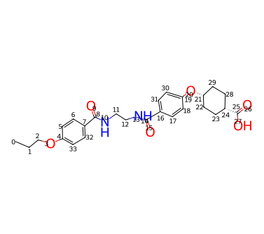 CCCOc1ccc(C(=O)NCCNC(=O)c2ccc(O[C@H]3CC[C@@H](C(=O)O)CC3)cc2)cc1